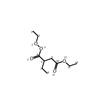 CCOOC(=O)C(CC)CC(=O)OCC